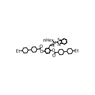 CCCCCCN(/N=C/c1cc(OC(=O)C2CCC(C3CCC(CC)CC3)CC2)ccc1OC(=O)C1CCC(C2CCC(CC)CC2)CC1)c1nc2ccccc2s1